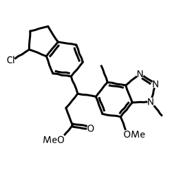 COC(=O)CC(c1ccc2c(c1)C(Cl)CC2)c1cc(OC)c2c(nnn2C)c1C